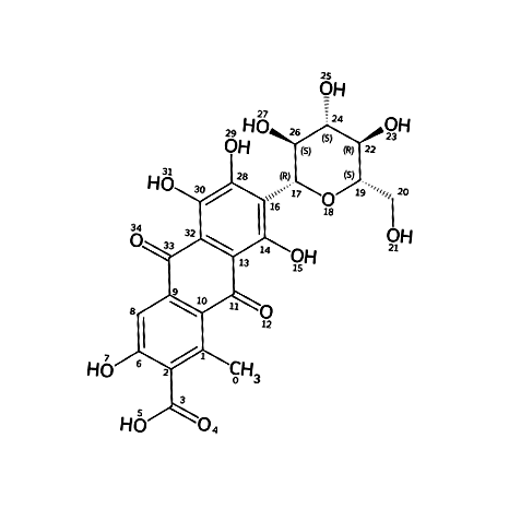 Cc1c(C(=O)O)c(O)cc2c1C(=O)c1c(O)c([C@H]3O[C@@H](CO)[C@H](O)[C@@H](O)[C@@H]3O)c(O)c(O)c1C2=O